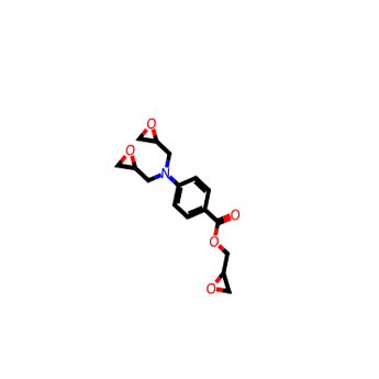 O=C(OCC1CO1)c1ccc(N(CC2CO2)CC2CO2)cc1